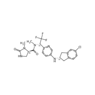 CN1C(=O)NC[C@@H]1C(=O)N(C)[C@@H](c1ccc(N[C@H]2Cc3ccc(Cl)cc3C2)cn1)C(F)(F)F